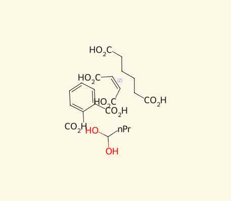 CCCC(O)O.O=C(O)/C=C\C(=O)O.O=C(O)CCCCC(=O)O.O=C(O)c1ccccc1C(=O)O